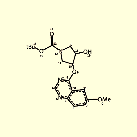 COc1ccc2ncnc(OC3CN(C(=O)OC(C)(C)C)CC3O)c2c1